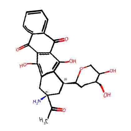 CC(=O)[C@]1(N)Cc2c(O)c3c(c(O)c2[C@@H](C2CC(O)C(O)CO2)C1)C(=O)c1ccccc1C3=O